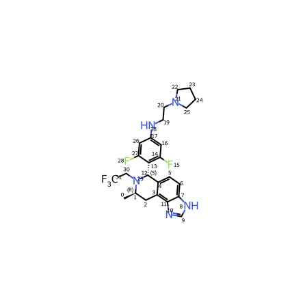 C[C@@H]1Cc2c(ccc3[nH]cnc23)[C@@H](c2c(F)cc(NCCN3CCCC3)cc2F)N1CC(F)(F)F